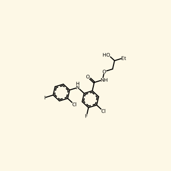 CCC(O)CONC(=O)c1cc(Cl)c(F)cc1Nc1ccc(I)cc1Cl